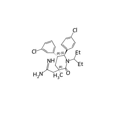 CCC(CC)N1C(=O)[C@@](C)(CC(=N)N)C[C@H](c2cccc(Cl)c2)[C@H]1c1ccc(Cl)cc1